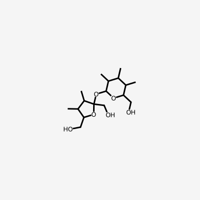 CC1C(CO)OC(OC2(CO)OC(CO)C(C)C2C)C(C)C1C